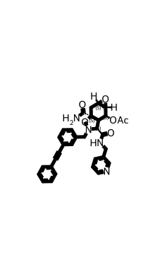 CC(=O)O[C@H]1C2[C@@H](C(=O)NCc3cccnc3)N(Cc3cccc(C#Cc4ccccc4)c3)O[C@@]2(C(N)=O)C[C@@H]2O[C@@H]21